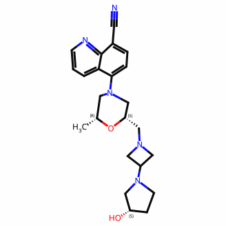 C[C@@H]1CN(c2ccc(C#N)c3ncccc23)C[C@H](CN2CC(N3CC[C@H](O)C3)C2)O1